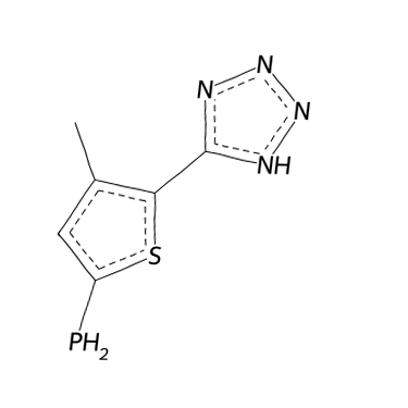 Cc1cc(P)sc1-c1nnn[nH]1